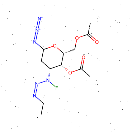 CC/N=N\N(F)[C@@H]1CC(N=[N+]=[N-])O[C@H](COC(C)=O)[C@@H]1OC(C)=O